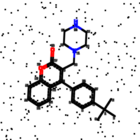 CC(C)(C)c1ccc(-c2c(CN3CCNCC3)c(=O)oc3ccccc23)cc1